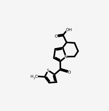 Cc1ccc(C(=O)c2ccc3n2CCCC3C(=O)O)s1